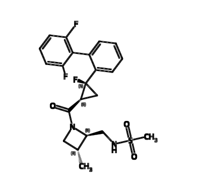 C[C@@H]1CN(C(=O)[C@@H]2C[C@@]2(F)c2ccccc2-c2c(F)cccc2F)[C@H]1CNS(C)(=O)=O